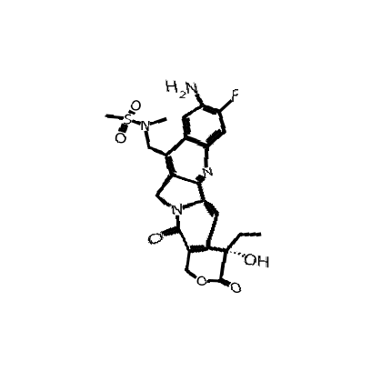 CC[C@@]1(O)C(=O)OCc2c1cc1n(c2=O)Cc2c-1nc1cc(F)c(N)cc1c2CN(C)S(C)(=O)=O